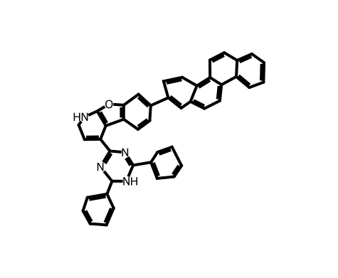 C1=C(C2=NC(c3ccccc3)NC(c3ccccc3)=N2)c2c(oc3cc(-c4ccc5c(ccc6c7ccccc7ccc56)c4)ccc23)NC1